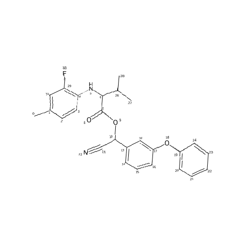 Cc1ccc(NC(C(=O)OC(C#N)c2cccc(Oc3ccccc3)c2)C(C)C)c(F)c1